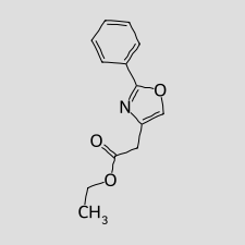 CCOC(=O)Cc1coc(-c2ccccc2)n1